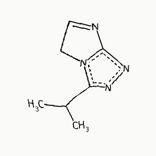 CC(C)c1nnc2n1CC=N2